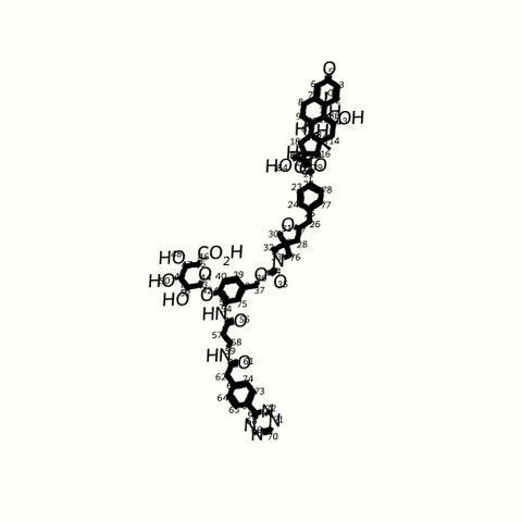 C[C@]12C=CC(=O)C=C1CC[C@@H]1[C@@H]2[C@@H](O)C[C@@]2(C)[C@H]1C[C@H]1O[C@@H](c3ccc(CC4CC5(CO4)CN(C(=O)OCc4ccc(O[C@@H]6O[C@H](C(=O)O)[C@@H](O)[C@H](O)[C@H]6O)c(NC(=O)CCNC(=O)Cc6ccc(-c7nncnn7)cc6)c4)C5)cc3)O[C@]12C(=O)CO